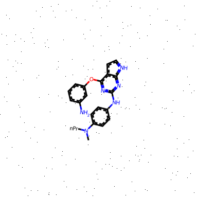 CCCN(C)c1ccc(Nc2nc(Oc3cccc(N)c3)c3cc[nH]c3n2)cc1